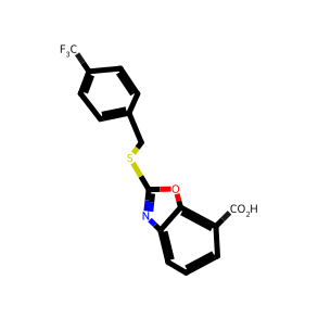 O=C(O)c1cccc2nc(SCc3ccc(C(F)(F)F)cc3)oc12